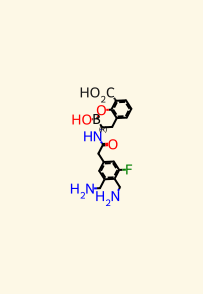 NCc1cc(CC(=O)N[C@H]2Cc3cccc(C(=O)O)c3OB2O)cc(F)c1CN